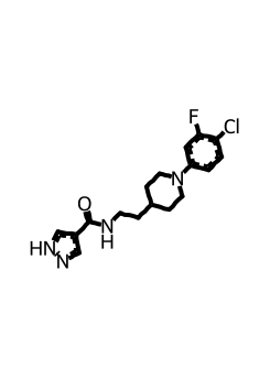 O=C(NCCC1CCN(c2ccc(Cl)c(F)c2)CC1)c1cn[nH]c1